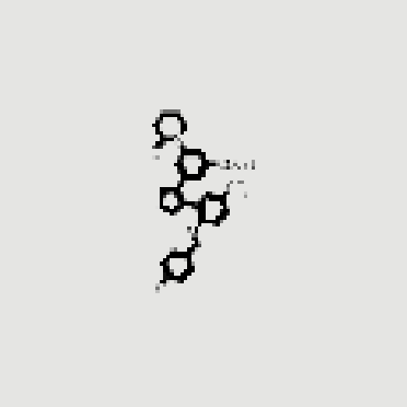 CCOC(=O)c1cc(C2=C(c3cc(C(F)(F)F)ccc3OCc3ccc(F)cc3)CCC2)cc(N2CCCCC2=O)c1